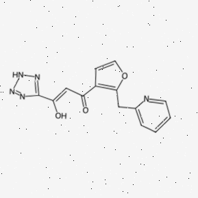 O=C(C=C(O)c1nn[nH]n1)c1ccoc1Cc1ccccn1